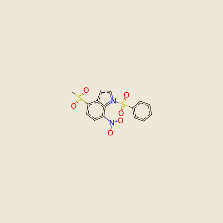 CS(=O)(=O)c1ccc([N+](=O)[O-])c2c1ccn2S(=O)(=O)c1ccccc1